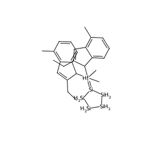 CCC1=Cc2c(C)cccc2[CH]1[Hf]([CH3])([CH3])([CH]1C(CC)=Cc2c(C)cccc21)=[Si]1[SiH2][SiH2][SiH2][SiH2]1